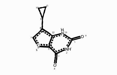 O=c1[nH]c(=O)c2scc(C3CC3)c2[nH]1